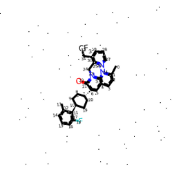 Cc1ccc2cc([C@H]3CC[C@H](c4c(C)cccc4F)CC3)c(=O)n(Cc3ncccc3CC(F)(F)F)c2n1